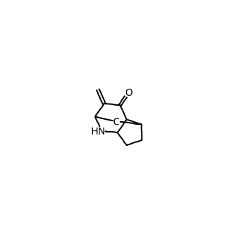 C=C1C(=O)C2C3CCC2NC1C3